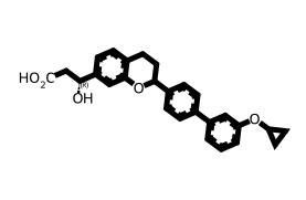 O=C(O)C[C@@H](O)c1ccc2c(c1)OC(c1ccc(-c3cccc(OC4CC4)c3)cc1)CC2